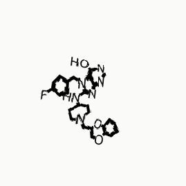 Oc1ncnc2nc(NC3CCN(CC4COc5ccccc5O4)CC3)n(Cc3ccc(F)cc3)c12